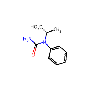 C[C@@H](C(=O)O)N(C(N)=O)c1ccccc1